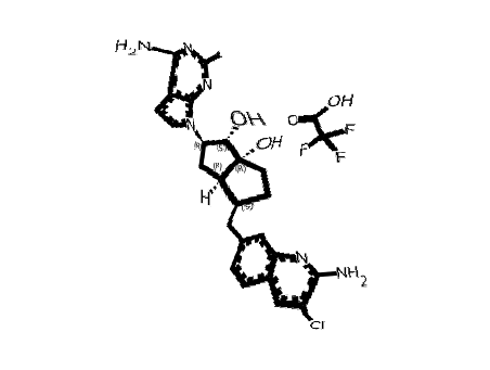 Cc1nc(N)c2ccn([C@@H]3C[C@@H]4[C@H](Cc5ccc6cc(Cl)c(N)nc6c5)CC[C@]4(O)[C@H]3O)c2n1.O=C(O)C(F)(F)F